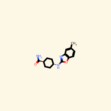 Cc1ccc2oc(N[C@H]3CC[C@H](C(N)=O)CC3)nc2c1